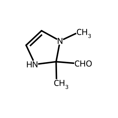 CN1C=CNC1(C)C=O